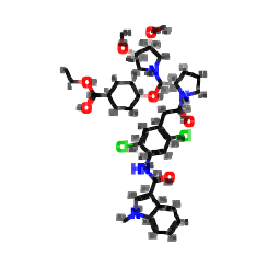 CCOC(=O)[C@H]1CC[C@H](OC([C@@H]2CCCN2C(=O)Cc2cc(Cl)c(NC(=O)c3cn(C)c4ccccc34)cc2Cl)N2C[C@H](OC)[C@H](OC)C2)CC1